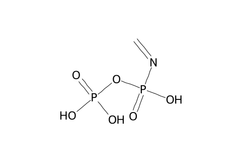 C=NP(=O)(O)OP(=O)(O)O